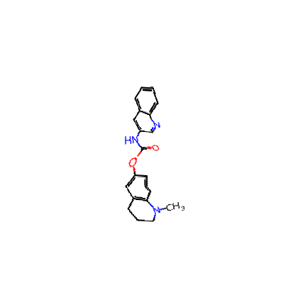 CN1CCCc2cc(OC(=O)Nc3cnc4ccccc4c3)ccc21